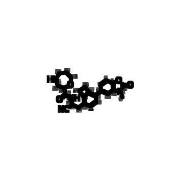 Cn1c(=O)oc2ccc(-c3ccc(C[C@@H](C#N)NC(=O)C4CNCCCO4)c4c3CC4)cc21